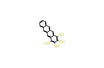 Sc1c(S)c(S)c2cc3cc4ccccc4cc3cc2c1S